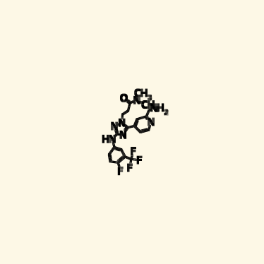 CN(C)C(=O)CCn1nc(Nc2ccc(F)c(C(F)(F)F)c2)nc1-c1ccnc(CN)c1